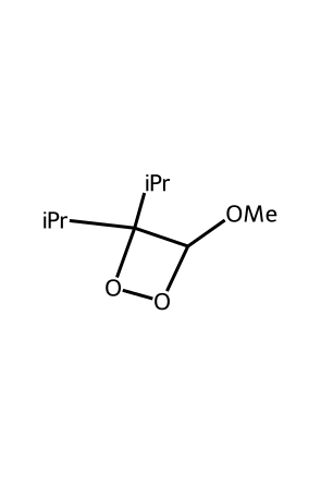 COC1OOC1(C(C)C)C(C)C